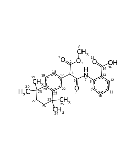 COC(=O)C(C(=O)Nc1ccccc1C(=O)O)c1ccc2c(c1)C(C)(C)CCC2(C)C